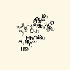 CC[C@H](C)C(COC(Cc1ccccc1)C(=O)N[C@H](CCS(C)(=O)=O)C(=O)OC(C)C)NCC(N)CS